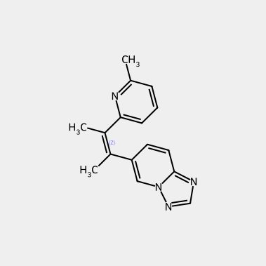 C/C(=C(\C)c1cccc(C)n1)c1ccc2ncnn2c1